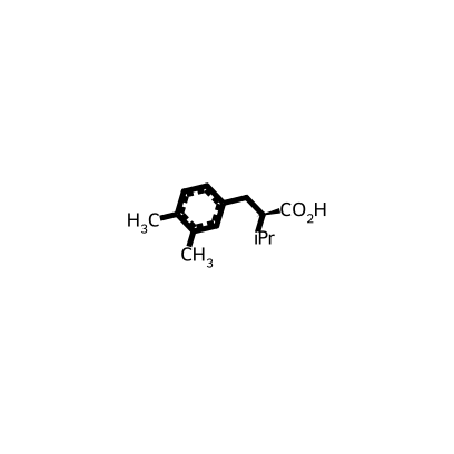 Cc1ccc(C[C@@H](C(=O)O)C(C)C)cc1C